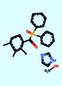 Cc1ccc(C(=O)P(=O)(c2ccccc2)c2ccccc2)c(C)c1C.O=[N+]([O-])O.c1c[nH]cn1